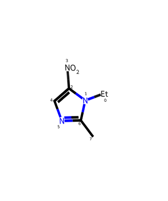 CCn1c([N+](=O)[O-])cnc1C